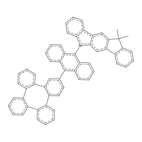 CC1(C)c2ccccc2-c2cc3c(cc21)c1ccccc1n3-c1c2ccccc2c(-c2ccc3c(c2)-c2ccccc2-c2ccccc2-c2ccccc2-3)c2ccccc12